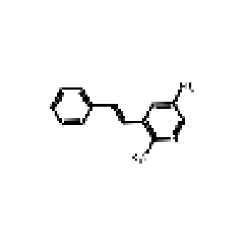 Nc1cnc([N+](=O)[O-])c(C=Cc2ccccc2)c1